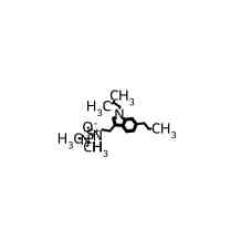 CCCc1ccc2c(CCN[S+]([O-])N(C)C)cn(CC(C)C)c2c1